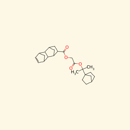 CC(C)(OC(=O)COC(=O)C1CC2CC1C1C3C=CC(C3)C21)C12CCC(CC1)C2